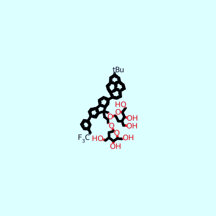 CC(C)(C)c1cc2ccc3ccc(-c4ccc5c(c4)C(CCCOC4CC(CO)C(O)C(CO)O4)(COC4CC(CO)C(O)C(CO)O4)c4cc(-c6cccc(CC(F)(F)F)c6)ccc4-5)c4ccc(c1)c2c34